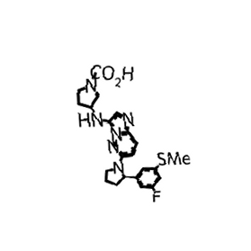 CSc1cc(F)cc([C@H]2CCCN2c2ccc3ncc(N[C@H]4CCN(C(=O)O)C4)n3n2)c1